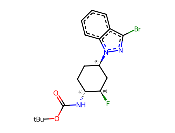 CC(C)(C)OC(=O)N[C@@H]1CC[C@@H](n2nc(Br)c3ccccc32)C[C@H]1F